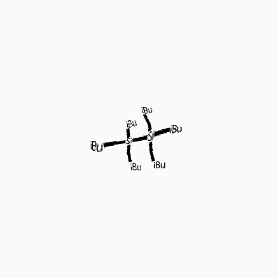 CCC(C)[Si](C(C)CC)(C(C)CC)[Si](C(C)CC)(C(C)CC)C(C)CC